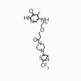 Cc1c(N[C@@H](C)COCCC(=O)N2CCN(c3cnc(C(F)(F)F)s3)CC2)cn[nH]c1=O